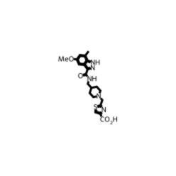 COc1cc(C)c2[nH]nc(C(=O)NCC3CCN(Cc4nc(C(=O)O)cs4)CC3)c2c1